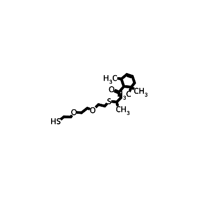 CC(CC(=O)C1C(C)C=CCC1(C)C)SCCOCCOCCS